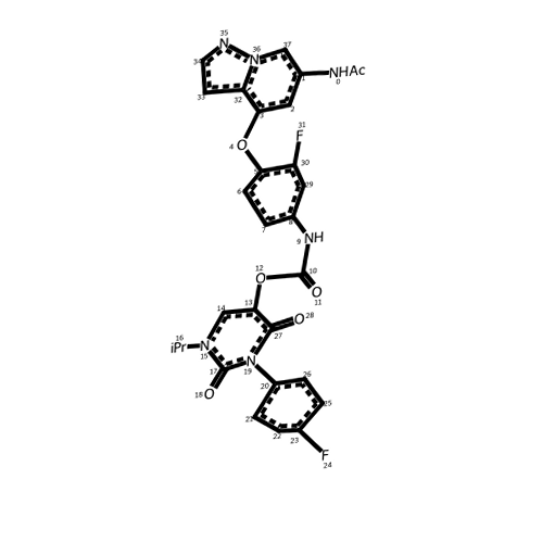 CC(=O)Nc1cc(Oc2ccc(NC(=O)Oc3cn(C(C)C)c(=O)n(-c4ccc(F)cc4)c3=O)cc2F)c2ccnn2c1